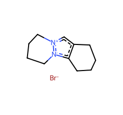 [Br-].c1c2c(n3[n+]1CCCC3)CCCC2